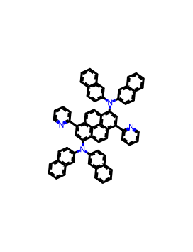 c1ccc(-c2cc(N(c3ccc4ccccc4c3)c3ccc4ccccc4c3)c3ccc4c(-c5ccccn5)cc(N(c5ccc6ccccc6c5)c5ccc6ccccc6c5)c5ccc2c3c45)nc1